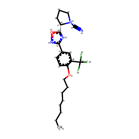 CCCCCCCCOc1ccc(-c2noc([C@@H]3CCCN3C#N)n2)cc1C(F)(F)F